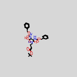 CC(C)(C)OC(=O)CCCNC(=O)[C@@H](NC(=O)OCc1ccccc1)[C@H](NC(=O)OCc1ccccc1)C(=O)O